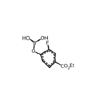 CCOC(=O)c1ccc(OB(O)O)c(F)c1